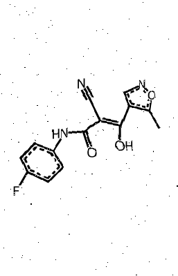 Cc1oncc1/C(O)=C(\C#N)C(=O)Nc1ccc(F)cc1